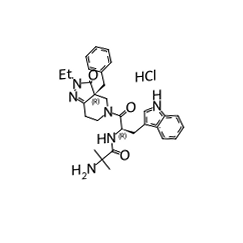 CCN1N=C2CCN(C(=O)[C@@H](Cc3c[nH]c4ccccc34)NC(=O)C(C)(C)N)C[C@@]2(Cc2ccccc2)C1=O.Cl